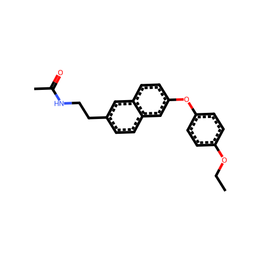 CCOc1ccc(Oc2ccc3cc(CCNC(C)=O)ccc3c2)cc1